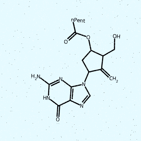 C=C1C(CO)C(OC(=O)CCCCC)CC1n1cnc2c(=O)[nH]c(N)nc21